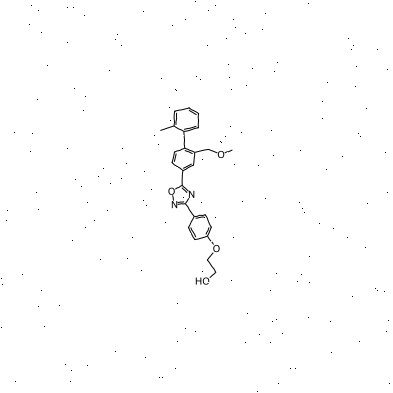 COCc1cc(-c2nc(-c3ccc(OCCO)cc3)no2)ccc1-c1ccccc1C